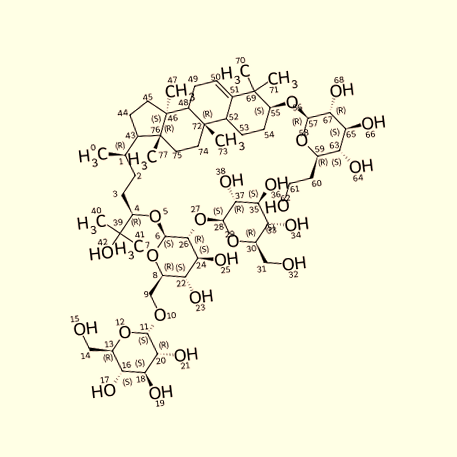 C[C@H](CC[C@@H](O[C@@H]1O[C@H](CO[C@H]2O[C@H](CO)[C@@H](O)[C@H](O)[C@H]2O)[C@@H](O)[C@H](O)[C@H]1O[C@@H]1O[C@H](CO)[C@@H](O)[C@H](O)[C@H]1O)C(C)(C)O)C1CC[C@@]2(C)C3CC=C4C(CC[C@H](O[C@@H]5O[C@H](CCO)[C@@H](O)[C@H](O)[C@H]5O)C4(C)C)[C@]3(C)CC[C@]12C